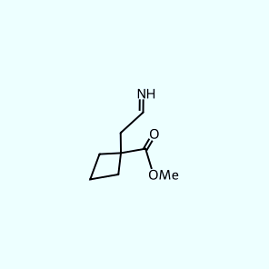 COC(=O)C1(CC=N)CCC1